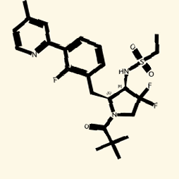 CCS(=O)(=O)N[C@@H]1[C@H](Cc2cccc(-c3cc(C)ccn3)c2F)N(C(=O)C(C)(C)C)CC1(F)F